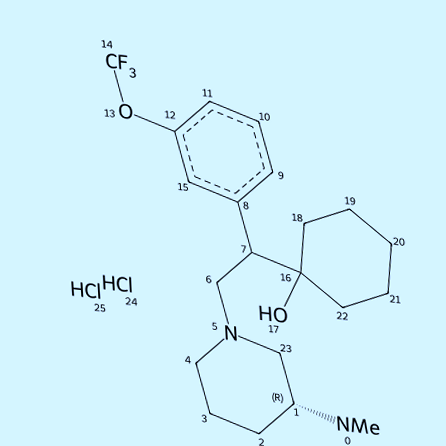 CN[C@@H]1CCCN(CC(c2cccc(OC(F)(F)F)c2)C2(O)CCCCC2)C1.Cl.Cl